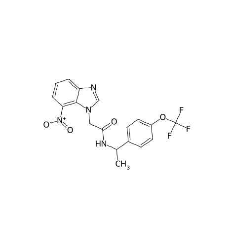 CC(NC(=O)Cn1cnc2cccc([N+](=O)[O-])c21)c1ccc(OC(F)(F)F)cc1